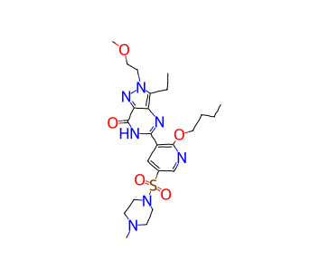 CCCCOc1ncc(S(=O)(=O)N2CCN(C)CC2)cc1-c1nc2c(CC)n(CCOC)nc2c(=O)[nH]1